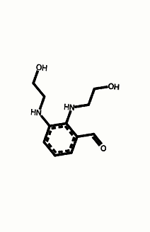 O=Cc1cccc(NCCO)c1NCCO